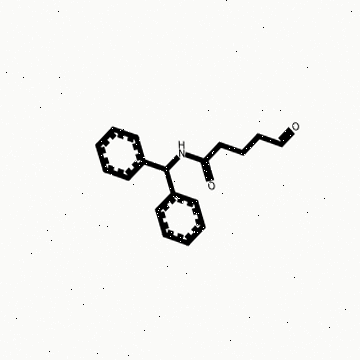 O=CCCCC(=O)NC(c1ccccc1)c1ccccc1